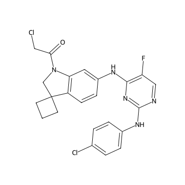 O=C(CCl)N1CC2(CCC2)c2ccc(Nc3nc(Nc4ccc(Cl)cc4)ncc3F)cc21